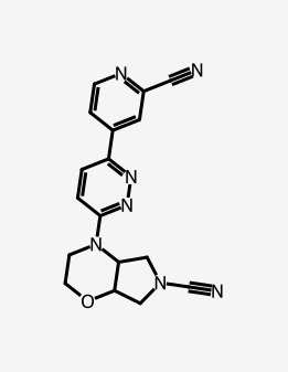 N#Cc1cc(-c2ccc(N3CCOC4CN(C#N)CC43)nn2)ccn1